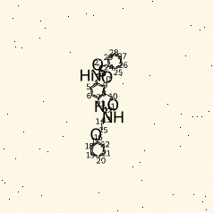 O=S(=O)(Nc1ccc2c(c1)COC(NCCOc1ccccc1)=N2)c1ccccc1